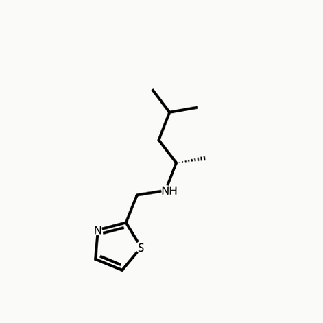 CC(C)C[C@H](C)NCc1nccs1